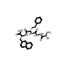 CC[C@@H](N)C(=O)NNC(=O)N[C@@H](CCc1ccccc1)C(=O)N[C@@H](Cc1ccc2ccccc2c1)C(N)=O